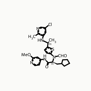 COc1cc(NC(=O)[C@H](CC2CCCC2)N(C=O)c2ccc([C@H](C)Nc3cc(Cl)cnc3C)s2)ccn1